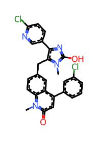 Cn1c(O)nc(-c2ccc(Cl)nc2)c1Cc1ccc2c(c1)c(-c1cccc(Cl)c1)cc(=O)n2C